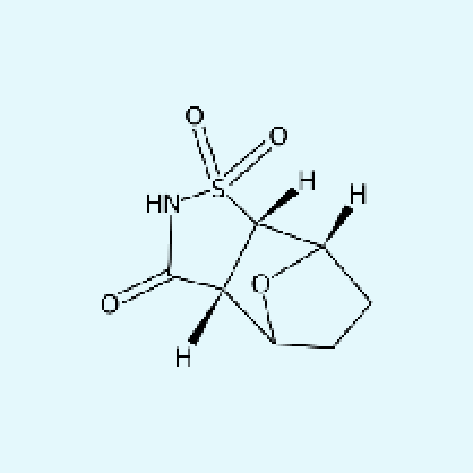 O=C1NS(=O)(=O)[C@@H]2[C@@H]3CCC(O3)[C@H]12